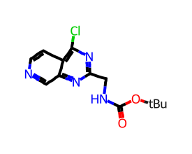 CC(C)(C)OC(=O)NCc1nc(Cl)c2ccncc2n1